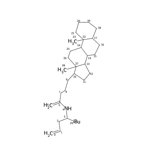 C=CCC(NC(=C)CCCC1CCC2C3CCC4CCCCC4(C)C3CCC12C)C(C)CC